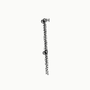 CCCCCCC=CCCCCCCCCCCCC(=O)OCCCCCCCCCCCCCCCCCCCCCCCCCCC(=O)O